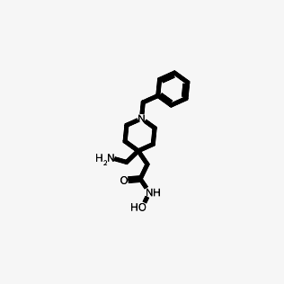 NCC1(CC(=O)NO)CCN(Cc2ccccc2)CC1